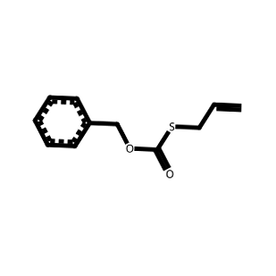 C=CCSC(=O)OCc1ccccc1